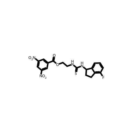 O=C(OCCNC(=S)NC1CCc2c(F)cccc21)c1cc([N+](=O)[O-])cc([N+](=O)[O-])c1